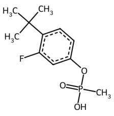 CC(C)(C)c1ccc(OP(C)(=O)O)cc1F